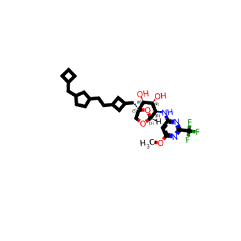 COc1cc(N[C@H]2[C@H]3OC[C@](CC4CC(CCC5CCC(CC6CCC6)C5)C4)(O3)[C@H](O)[C@@H]2O)nc(C(F)(F)F)n1